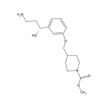 COC(=O)N1CCC(COc2cccc([C@H](O)CCN)c2)CC1